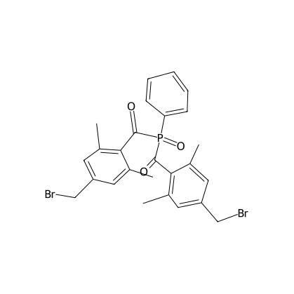 Cc1cc(CBr)cc(C)c1C(=O)P(=O)(C(=O)c1c(C)cc(CBr)cc1C)c1ccccc1